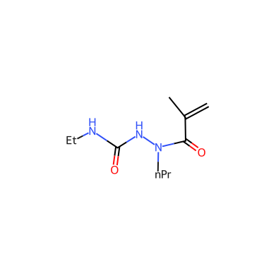 C=C(C)C(=O)N(CCC)NC(=O)NCC